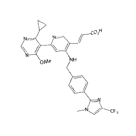 COc1ncnc(C2CC2)c1-c1cc(NCc2ccc(-c3nc(C(F)(F)F)cn3C)cc2)c(/C=C/C(=O)O)cn1